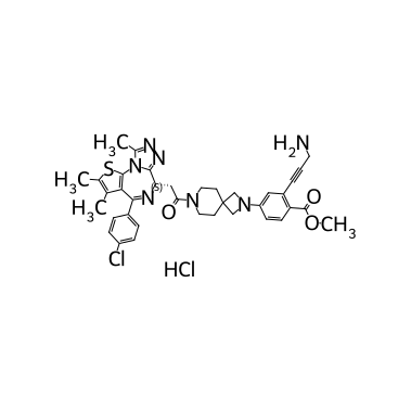 COC(=O)c1ccc(N2CC3(CCN(C(=O)C[C@@H]4N=C(c5ccc(Cl)cc5)c5c(sc(C)c5C)-n5c(C)nnc54)CC3)C2)cc1C#CCN.Cl